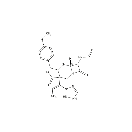 CC=C(N1N=CNN1)C1(C(=O)O)CN2C(=O)C(NC=O)[C@H]2SC1Cc1ccc(OC)cc1